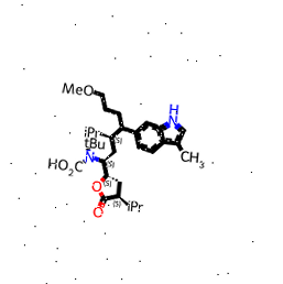 COCCCC(c1ccc2c(C)c[nH]c2c1)[C@@H](C[C@@H]([C@@H]1C[C@@H](C(C)C)C(=O)O1)N(C(=O)O)C(C)(C)C)C(C)C